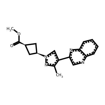 COC(=O)[C@H]1C[C@@H](n2cc(-c3cnc4ccccc4n3)c(C)n2)C1